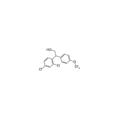 OCC(c1ccc(OC(F)(F)F)cc1)c1ccc(Cl)cc1Cl